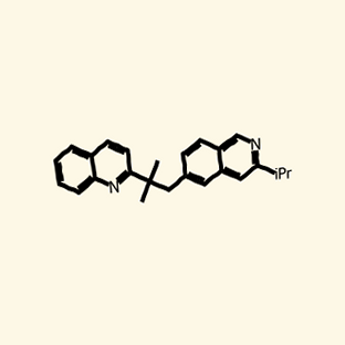 CC(C)c1cc2cc(CC(C)(C)c3ccc4ccccc4n3)ccc2cn1